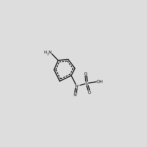 [N-]=[N+](c1ccc(N)cc1)S(=O)(=O)O